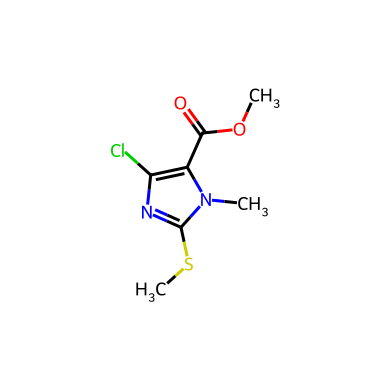 COC(=O)c1c(Cl)nc(SC)n1C